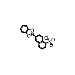 O=S(=O)(Cl)c1cccc2cc(N3Oc4ccccc4O3)ccc12